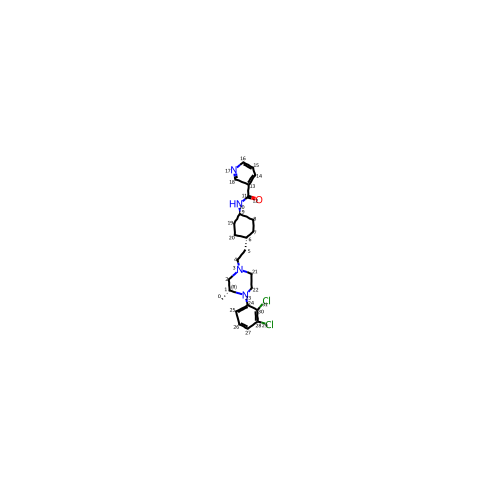 C[C@@H]1CN(CC[C@H]2CC[C@H](NC(=O)c3cccnc3)CC2)CCN1c1cccc(Cl)c1Cl